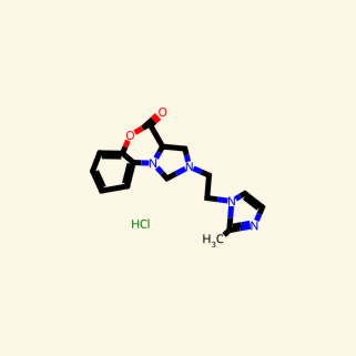 Cc1nccn1CCN1CC2C(=O)Oc3ccccc3N2C1.Cl